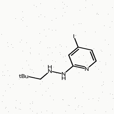 CC(C)(C)CNNc1cc(I)ccn1